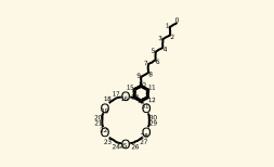 CCCCCCCCCCc1ccc2c(c1)OCCOCCOCCOCCOCCO2